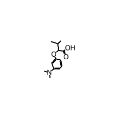 CC(C)C(Oc1cccc(N(C)C)c1)C(=O)O